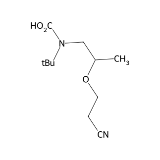 CC(CN(C(=O)O)C(C)(C)C)OCCC#N